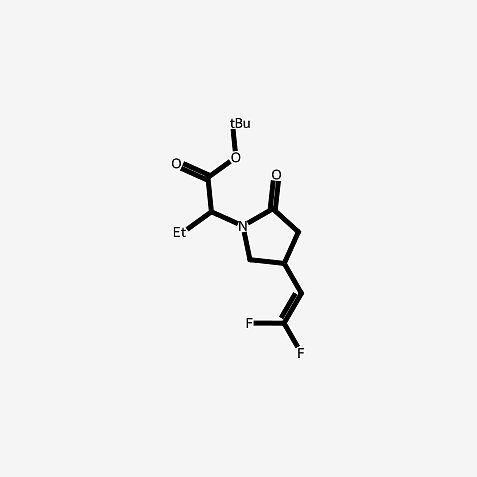 CCC(C(=O)OC(C)(C)C)N1CC(C=C(F)F)CC1=O